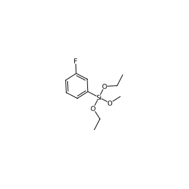 CCO[Si](OC)(OCC)c1cccc(F)c1